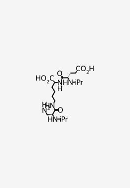 CC(C)N[C@@H](CN)C(=O)NCCCCC(NC(=O)[C@H](CCC(=O)O)NC(C)C)C(=O)O